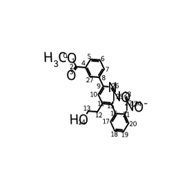 COC(=O)c1cccc(-c2cc(CCO)c(-c3ccccc3[N+](=O)[O-])nn2)c1